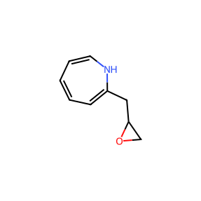 C1=CC=C(CC2CO2)NC=C1